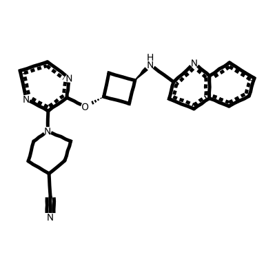 N#CC1CCN(c2nccnc2O[C@H]2C[C@H](Nc3ccc4ccccc4n3)C2)CC1